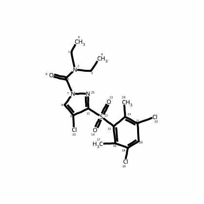 CCN(CC)C(=O)n1cc(Cl)c(S(=O)(=O)c2c(C)c(Cl)cc(Cl)c2C)n1